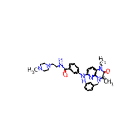 C[C@@H]1C(=O)N(C)c2ccc(Nc3cccc(C(=O)NCCN4CCN(C)CC4)c3)nc2N1Cc1ccccc1